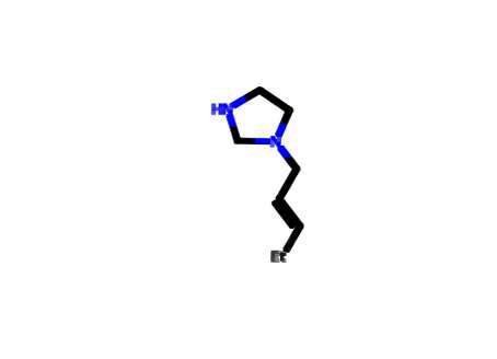 CC/C=C/CN1CCNC1